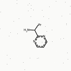 CC(C)C(N)c1ncccn1